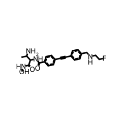 CC(N)C(NC(=O)c1ccc(C#Cc2ccc(CNCCF)cc2)cc1)C(=O)NO